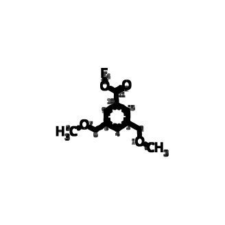 COCc1cc(COC)cc(C(=O)OF)c1